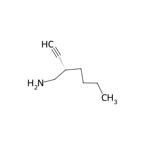 C#C[C@@H](CN)CCCC